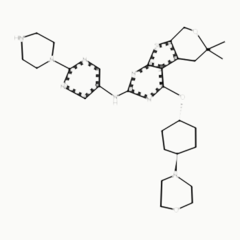 CC1(C)Cc2c(sc3nc(Nc4cnc(N5CCNCC5)nc4)nc(O[C@H]4CC[C@H](N5CCOCC5)CC4)c23)CO1